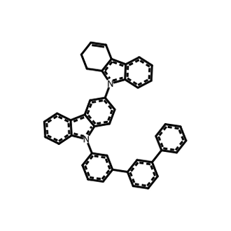 C1=Cc2c(n(-c3ccc4c(c3)c3ccccc3n4-c3cccc(-c4cccc(-c5ccccc5)c4)c3)c3ccccc23)CC1